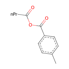 CCCC(=O)OC(=O)c1ccc(C)cc1